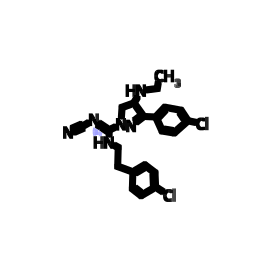 CCNC1CN(/C(=N/C#N)NCCc2ccc(Cl)cc2)N=C1c1ccc(Cl)cc1